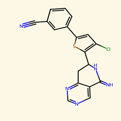 N#Cc1cccc(-c2cc(Cl)c(C3Cc4ncncc4C(=N)N3)s2)c1